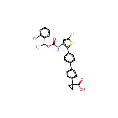 CC(OC(=O)Nc1cc(Cl)sc1-c1ccc(-c2ccc(C3(C(=O)O)CC3)cc2)cc1)c1ccccc1Cl